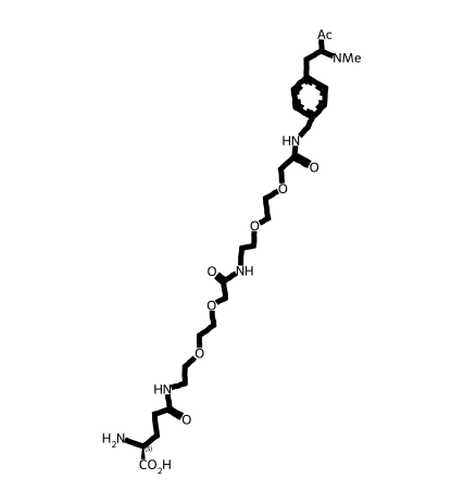 CNC(Cc1ccc(CNC(=O)COCCOCCNC(=O)COCCOCCNC(=O)CC[C@H](N)C(=O)O)cc1)C(C)=O